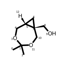 CC1(C)OC[C@@H]2C[C@]2(CO)CO1